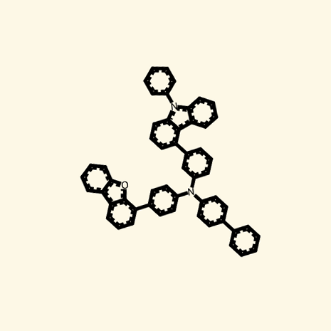 c1ccc(-c2ccc(N(c3ccc(-c4cccc5c4oc4ccccc45)cc3)c3cccc(-c4cccc5c4c4ccccc4n5-c4ccccc4)c3)cc2)cc1